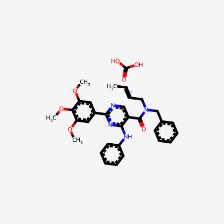 C/C=C/CN(Cc1ccccc1)C(=O)c1cnc(-c2cc(OC)c(OC)c(OC)c2)nc1Nc1ccccc1.O=C(O)O